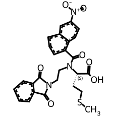 CSCC[C@@H](C(=O)O)N(CCN1C(=O)c2ccccc2C1=O)C(=O)c1cccc2cc([N+](=O)[O-])ccc12